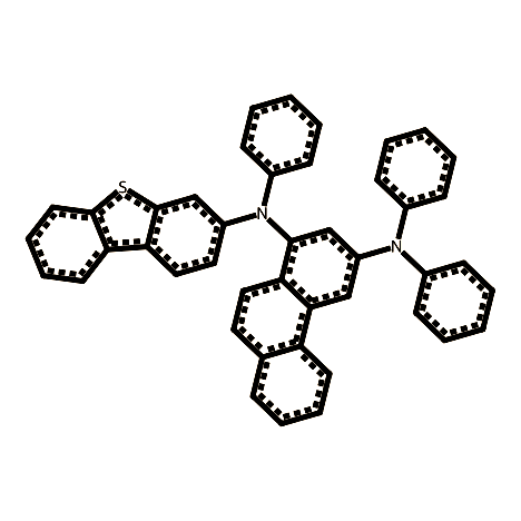 c1ccc(N(c2ccccc2)c2cc(N(c3ccccc3)c3ccc4c(c3)sc3ccccc34)c3ccc4ccccc4c3c2)cc1